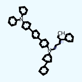 C=C/C(=C\C=C\N(c1ccc(-c2ccccc2)cc1)c1ccc(-c2ccc(-c3ccc(N(c4ccccc4)c4ccccc4)cc3)cc2)cc1)c1ccccc1